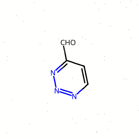 O=Cc1ccnnn1